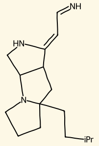 CC(C)CCC12CCCN1C1CN/C(=C\C=N)C1C2